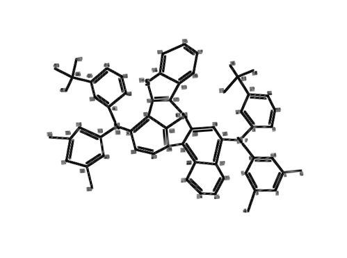 Cc1cc(C)cc(N(c2cccc(C(C)(C)C)c2)c2cc3c(c4ccccc24)c2ccc(N(c4cc(C)cc(C)c4)c4cccc(C(C)(C)C)c4)c4c5sc6ccccc6c5n3c24)c1